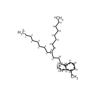 CCCCCCCCN(CCCCCCCC)CCn1nnc2c(C)cccc21